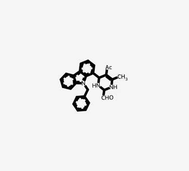 CC(=O)C1=C(C)NC(C=O)NC1c1cccc2c3ccccc3n(Cc3ccccc3)c12